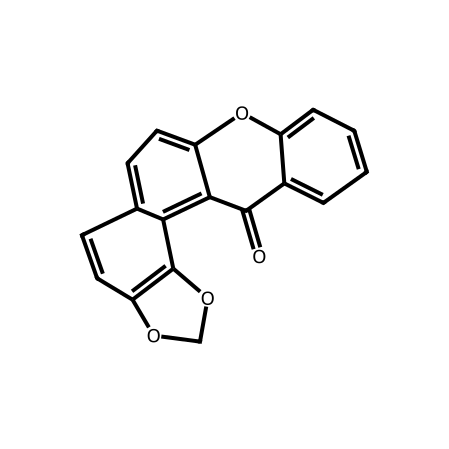 O=c1c2ccccc2oc2ccc3ccc4c(c3c12)OCO4